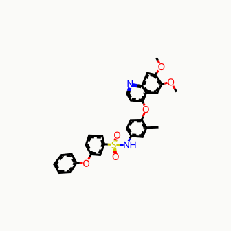 COc1cc2nccc(Oc3ccc(NS(=O)(=O)c4cccc(Oc5ccccc5)c4)cc3C)c2cc1OC